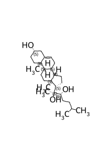 CC(C)CC[C@@H](O)[C@@](C)(O)[C@H]1CC[C@H]2[C@@H]3CC=C4C[C@@H](O)CC[C@]4(C)[C@H]3CC[C@]12C